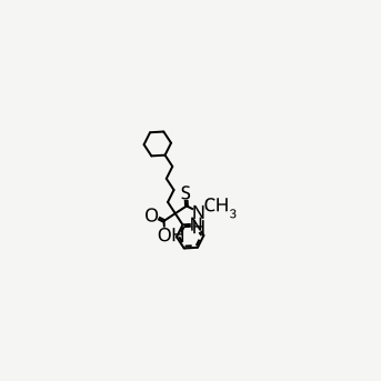 CNC(=S)C(CCCCC1CCCCC1)(C(=O)O)c1ccccn1